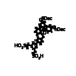 CCCCCCCCCCOc1ccc(C(OCCc2ccc(N(CCCCS(=O)(=O)O)CCCCS(=O)(=O)O)cc2)(c2ccccc2)c2ccc(OCCCCCCCCCC)cc2)cc1